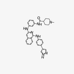 CN1CCC(C(=O)Nc2cccc(Nc3cc4ccccc4c(Nc4ccc(-c5cn[nH]c5)cc4)n3)c2)CC1